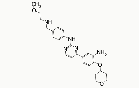 COCCNCc1ccc(Nc2nccc(-c3ccc(OC4CCOCC4)c(N)c3)n2)cc1